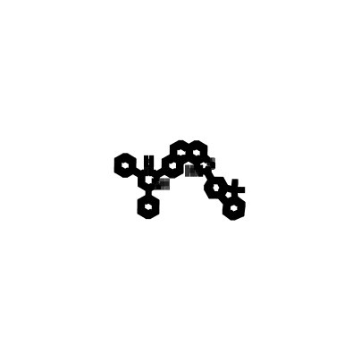 CC1(C)c2ccccc2-c2ccc(C3Nc4c(ccc5ccc6cc(C7NC(c8ccccc8)=CC(c8ccccc8)N7)ccc6c45)S3)cc21